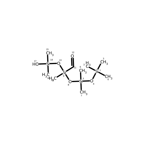 C[Si](C)(C)O[Si](C)(C)O[Si](C)(C=O)O[Si](C)(C)O